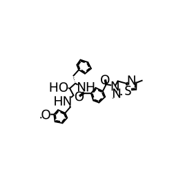 COc1cccc(CNC[C@@H](O)[C@H](Cc2ccccc2)NC(=O)c2cccc(C(=O)N(Cc3nc(C)cs3)N(C)C)c2)c1